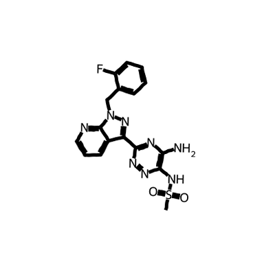 CS(=O)(=O)Nc1nnc(-c2nn(Cc3ccccc3F)c3ncccc23)nc1N